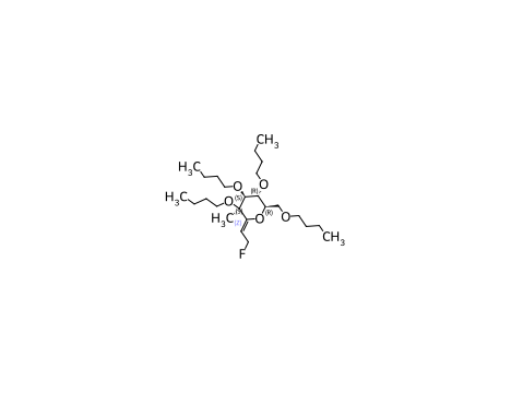 CCCCOC[C@H]1O/C(=C\CF)[C@@](C)(OCCCC)[C@@H](OCCCC)[C@@H]1OCCCC